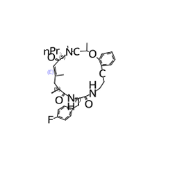 CCC[C@H]1C(=O)/C=C(\C)C[C@H](C)C(=O)N[C@H](Cc2ccc(F)cc2)C(=O)NCCCc2ccccc2OC(C)CN1C